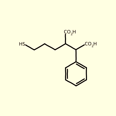 O=C(O)C(CCCS)C(C(=O)O)c1ccccc1